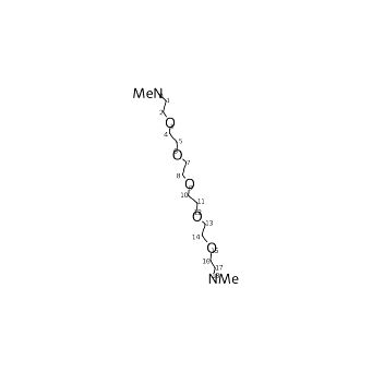 CNCCOCCOCCOCCOCCOCCNC